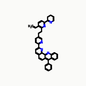 C=Cc1ccc(C2=NC=CCC2)nc1CCc1ccc(-c2ccc3ccc4c(-c5ccccc5)c5ccccc5nc4c3n2)nc1